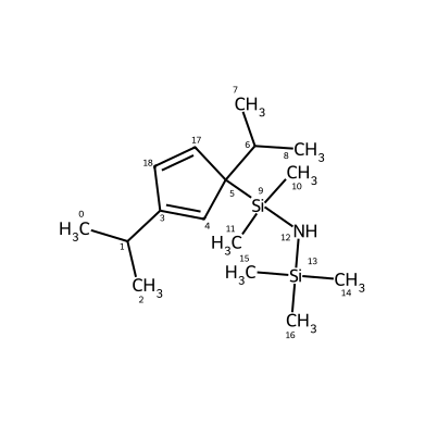 CC(C)C1=CC(C(C)C)([Si](C)(C)N[Si](C)(C)C)C=C1